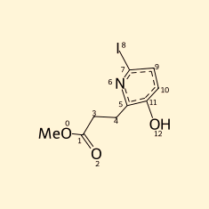 COC(=O)CCc1nc(I)ccc1O